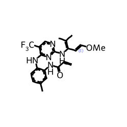 C=CC(=O)Nc1cc(C)ccc1Nc1nc(NC(/C=C/OC)=C(C)C)ncc1C(F)(F)F